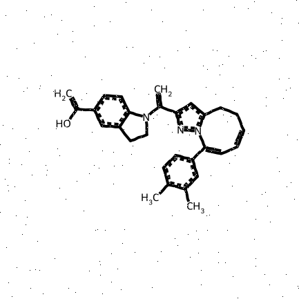 C=C(O)c1ccc2c(c1)CCN2C(=C)c1cc2n(n1)/C(c1ccc(C)c(C)c1)=C\C=C/CC2